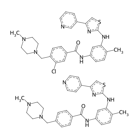 Cc1ccc(NC(=O)c2ccc(CN3CCN(C)CC3)c(Cl)c2)cc1Nc1nc(-c2cccnc2)cs1.Cc1ccc(NC(=O)c2ccc(CN3CCN(C)CC3)cc2)cc1Nc1nc(-c2ccncc2)cs1